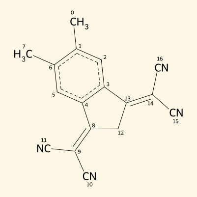 Cc1cc2c(cc1C)C(=C(C#N)C#N)CC2=C(C#N)C#N